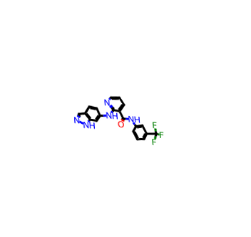 O=C(Nc1cccc(C(F)(F)F)c1)c1cccnc1Nc1ccc2cn[nH]c2c1